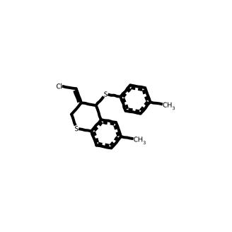 Cc1ccc(SC2/C(=C/Cl)CSc3ccc(C)cc32)cc1